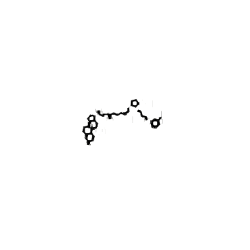 C[C@@H]1C[C@H]2[C@@H]3CCC4=CC(=O)C=C[C@]4(C)[C@@]3(F)[C@@H](O)C[C@]2(C)[C@H]1C(=O)COC(=O)CCC/C=C\C[C@H]1CC[C@@H](O)[C@@H]1/C=C/[C@@H](O)COc1cccc(C(F)(F)F)c1